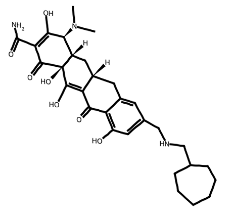 CN(C)[C@@H]1C(O)=C(C(N)=O)C(=O)[C@@]2(O)C(O)=C3C(=O)c4c(O)cc(CNCC5CCCCCC5)cc4C[C@H]3C[C@@H]12